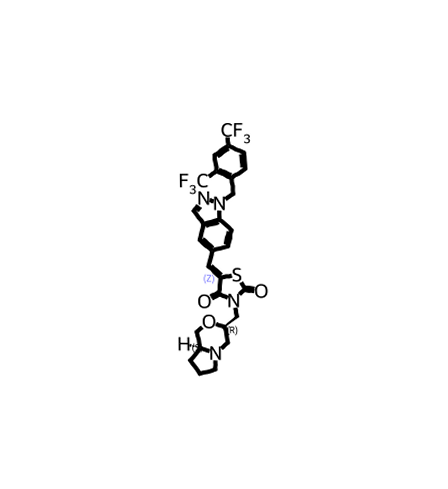 O=C1S/C(=C\c2ccc3c(cnn3Cc3ccc(C(F)(F)F)cc3C(F)(F)F)c2)C(=O)N1C[C@H]1CN2CCC[C@H]2CO1